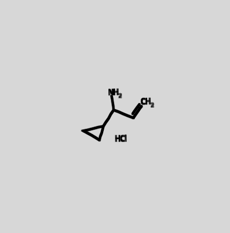 C=CC(N)C1CC1.Cl